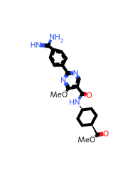 COc1nc(-c2ccc(C(=N)N)cc2)ncc1C(=O)N[C@H]1CC[C@H](C(=O)OC)CC1